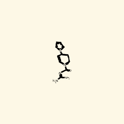 NC(N)=NC(=O)N1C=CC(n2cccc2)=CC1